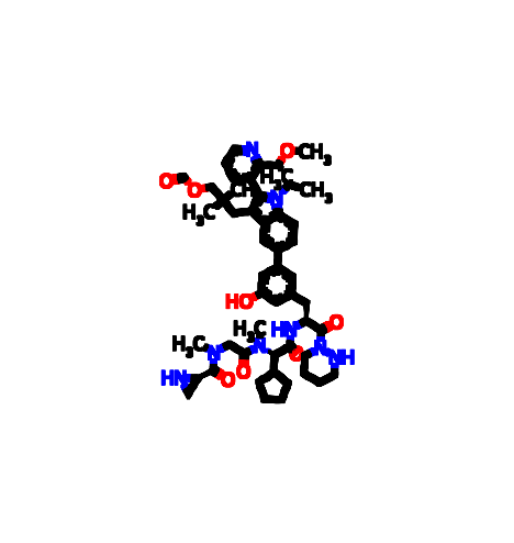 CCn1c(-c2cccnc2[C@H](C)OC)c(CC(C)(C)COC=O)c2cc(-c3cc(O)cc(C[C@H](NC(=O)[C@H](C4CCCC4)N(C)C(=O)CN(C)C(=O)[C@H]4CN4)C(=O)N4CCCCN4)c3)ccc21